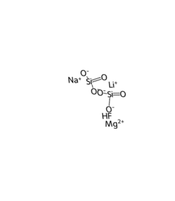 F.O=[Si]([O-])[O-].O=[Si]([O-])[O-].[Li+].[Mg+2].[Na+]